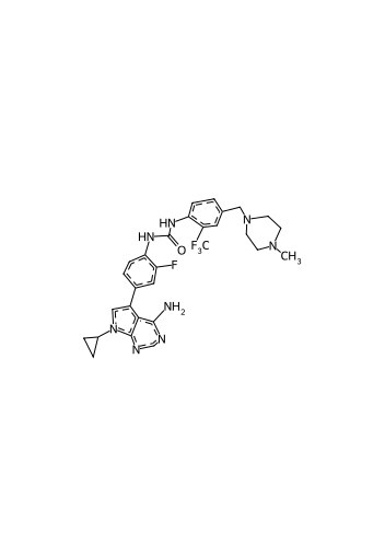 CN1CCN(Cc2ccc(NC(=O)Nc3ccc(-c4cn(C5CC5)c5ncnc(N)c45)cc3F)c(C(F)(F)F)c2)CC1